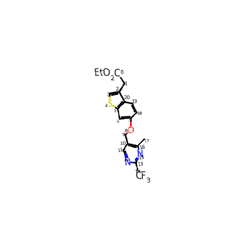 CCOC(=O)Cc1csc2cc(OCc3cnc(C(F)(F)F)nc3C)ccc12